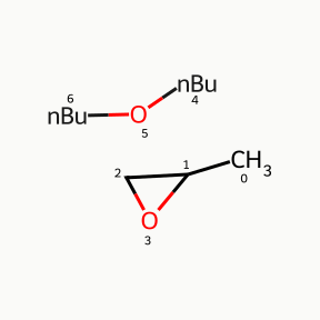 CC1CO1.CCCCOCCCC